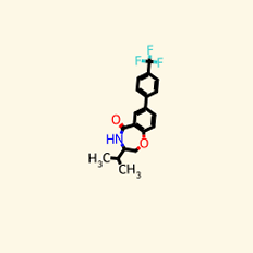 CC(C)C1COc2ccc(-c3ccc(C(F)(F)F)cc3)cc2C(=O)N1